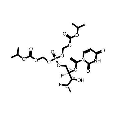 C=C(O[C@](F)(COP(=O)(OCOC(=O)OC(C)C)OCOC(=O)OC(C)C)[C@@H](O)[C@@H](C)F)n1ccc(=O)[nH]c1=O